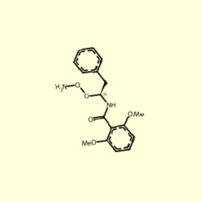 COc1cccc(OC)c1C(=O)N[C@H](Cc1ccccc1)OON